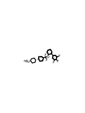 CCCC[C@H]1CC[C@H](c2ccc(C(F)(F)Oc3ccccc3-c3cc(F)c(F)c(F)c3)cc2)CC1